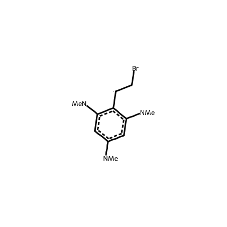 CNc1cc(NC)c([CH]CBr)c(NC)c1